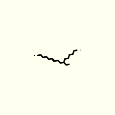 [CH2]CCCCC=CCCC(CC)CCCCC[CH2]